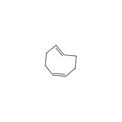 C1=C\CC/C=C/CC/1